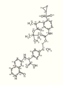 C[C@@H](COC(=O)Nc1ccc(S(=O)(=O)C2CC2)c(CN(C)C(=O)OC(C)(C)C)c1)c1ccc(C(Nc2ccc3cc[nH]c(=O)c3c2)C(=O)O)cc1